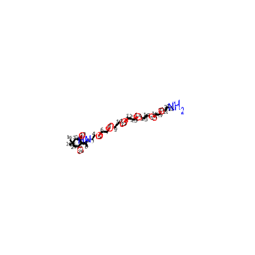 CC(NCCOCCOCCOCCOCCOCCOCCN)=C1C(=O)CC(C)(C)CC1=O